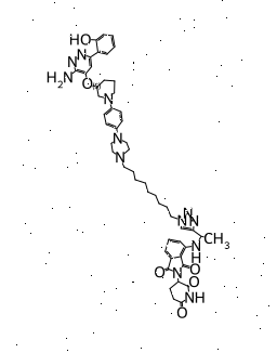 CC(Nc1cccc2c1C(=O)N(C1CCC(=O)NC1=O)C2=O)c1cn(CCCCCCCCCN2CCN(c3ccc(N4CCC[C@H](Oc5cc(-c6ccccc6O)nnc5N)C4)cc3)CC2)nn1